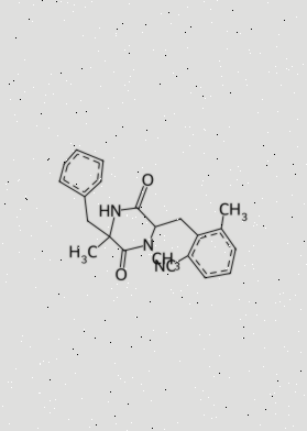 Cc1cccc(C#N)c1CC1C(=O)NC(C)(Cc2ccccc2)C(=O)N1C